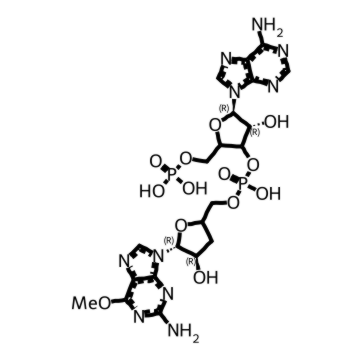 COc1nc(N)nc2c1ncn2[C@@H]1OC(COP(=O)(O)OC2C(COP(=O)(O)O)O[C@@H](n3cnc4c(N)ncnc43)[C@@H]2O)C[C@H]1O